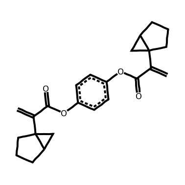 C=C(C(=O)Oc1ccc(OC(=O)C(=C)C23CCCC2C3)cc1)C12CCCC1C2